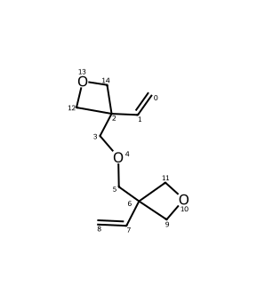 C=CC1(COCC2(C=C)COC2)COC1